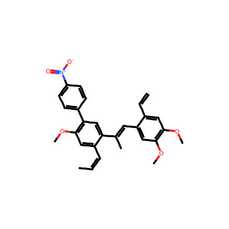 C=Cc1cc(OC)c(OC)cc1/C=C(\C)c1cc(-c2ccc([N+](=O)[O-])cc2)c(OC)cc1/C=C\C